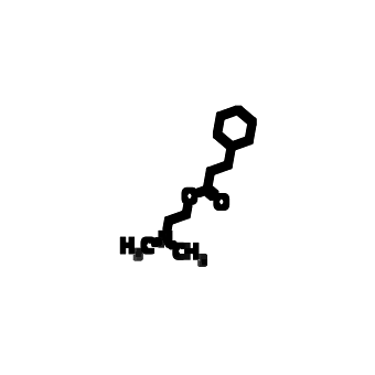 CN(C)CCOC(=O)CCC1CCCCC1